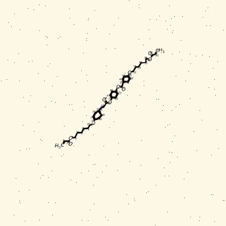 C=CC(=O)OCCCCCCOc1ccc(/C=C/C(=O)Oc2ccc(OC(=O)c3ccc(OCCCCCCOC(=O)C=C)cc3)cc2)cc1